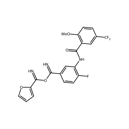 COc1ccc(C(F)(F)F)cc1C(=O)Nc1cc(C(=N)OC(=N)c2ccco2)ccc1F